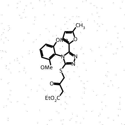 CCOC(=O)CC(=O)CSc1nnc(-c2ccc(C)o2)n1-c1c(OC)cccc1OC